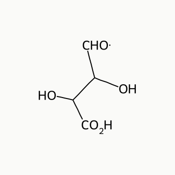 O=[C]C(O)C(O)C(=O)O